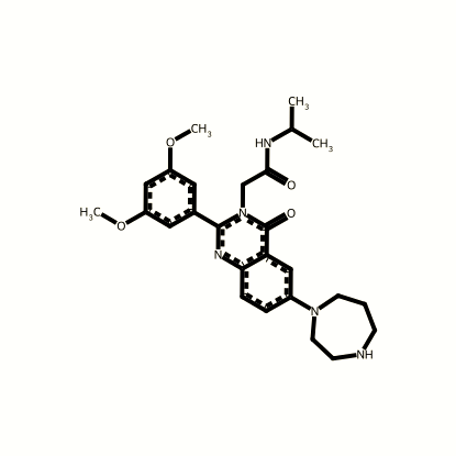 COc1cc(OC)cc(-c2nc3ccc(N4CCCNCC4)cc3c(=O)n2CC(=O)NC(C)C)c1